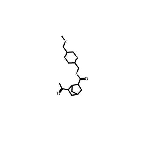 CSCC1CSC(CSC(=O)C2CC3CC(C(C)=O)C2C3)CS1